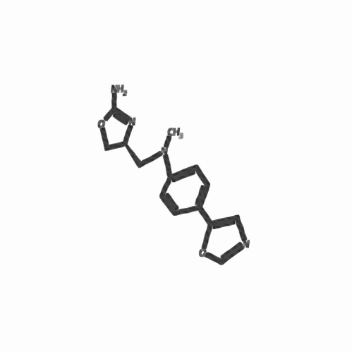 CN(C[C@H]1COC(N)=N1)c1ccc(-c2cnco2)cc1